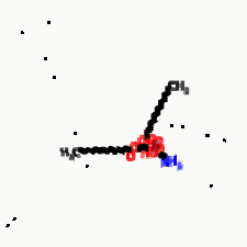 CCCCCCCCCCCCCCC(=O)OCC(COP(=O)(O)OCCN)OC(=O)CCCCCCCCCCCCCC